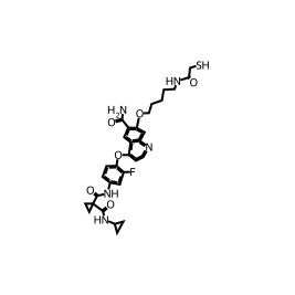 NC(=O)c1cc2c(Oc3ccc(NC(=O)C4(C(=O)NC5CC5)CC4)cc3F)ccnc2cc1OCCCCCNC(=O)CS